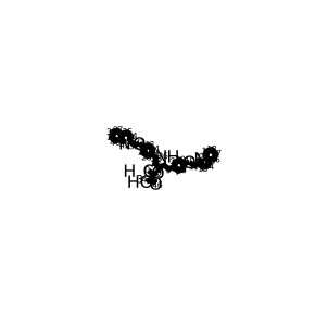 CC(OC(CCc1ccc(OCc2ccc3ccccc3n2)cc1)CC(=N)c1ccc(OCc2ccc3ccccc3n2)cc1)C(=O)O